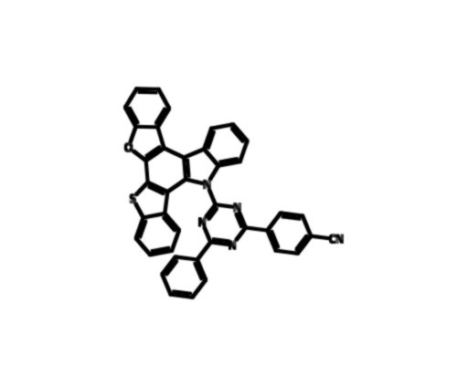 N#Cc1ccc(-c2nc(-c3ccccc3)nc(-n3c4ccccc4c4c5c6ccccc6oc5c5sc6ccccc6c5c43)n2)cc1